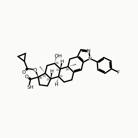 C[C@]12Cc3cnn(-c4ccc(F)cc4)c3C=C1CC[C@@H]1[C@@H]2[C@@H](O)C[C@@]2(C)[C@H]1CC[C@]2(OC(=O)C1CC1)C(=O)S